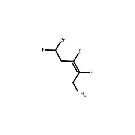 CC/C(F)=C(/F)CC(F)Br